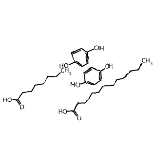 CCCCCCCC(=O)O.CCCCCCCCCCCC(=O)O.Oc1ccc(O)cc1.Oc1ccc(O)cc1